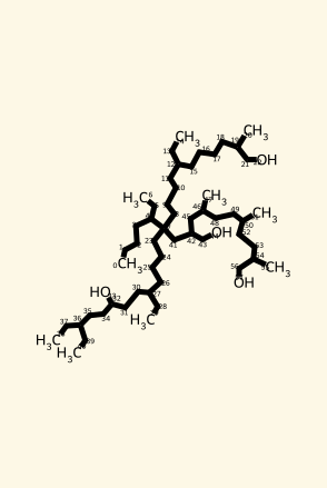 CCCCC(CC)C(CCCCC(CC)CCCCC(C)CO)(CCCCC(CC)CCC(O)CCC(CC)CC)CC(CO)CC(C)CCC(C)CCC(C)CO